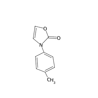 Cc1ccc(-n2ccoc2=O)cc1